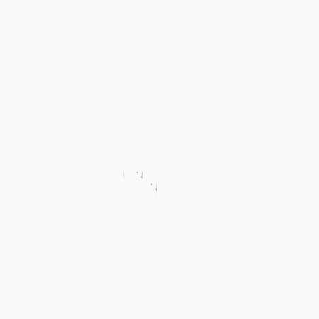 C=C/C=C\C=C(/C=C)NN